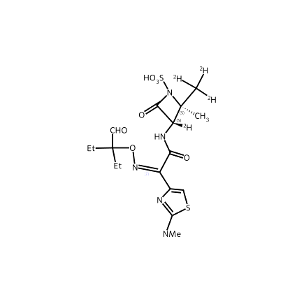 [2H]C([2H])([2H])[C@]1(C)N(S(=O)(=O)O)C(=O)[C@@]1([2H])NC(=O)/C(=N\OC(C=O)(CC)CC)c1csc(NC)n1